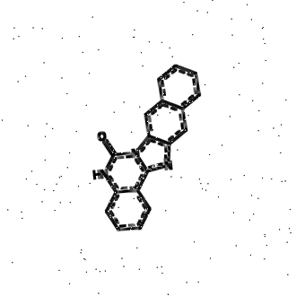 O=c1[nH]c2ccccc2c2nc3cc4ccccc4cc3n12